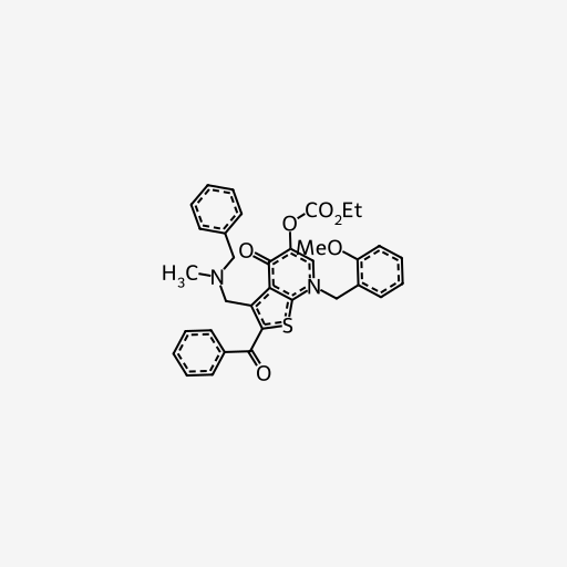 CCOC(=O)Oc1cn(Cc2ccccc2OC)c2sc(C(=O)c3ccccc3)c(CN(C)Cc3ccccc3)c2c1=O